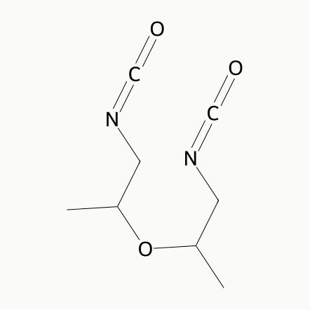 CC(CN=C=O)OC(C)CN=C=O